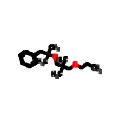 CCCOCC(C)(C)CO[Si](C)(C)Cc1ccccc1